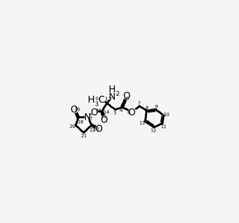 CC(N)(CC(=O)OCc1ccccc1)C(=O)ON1C(=O)CCC1=O